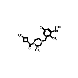 Cc1c(CN2CCN(C(=O)C3CC(C)C3)[C@@H](C)C2)cc(Cl)cc1NC=O